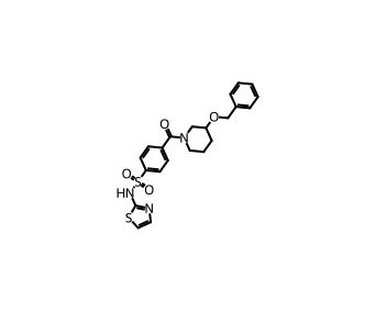 O=C(c1ccc(S(=O)(=O)Nc2nccs2)cc1)N1CCCC(OCc2ccccc2)C1